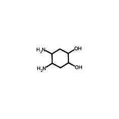 NC1CC(O)C(O)CC1N